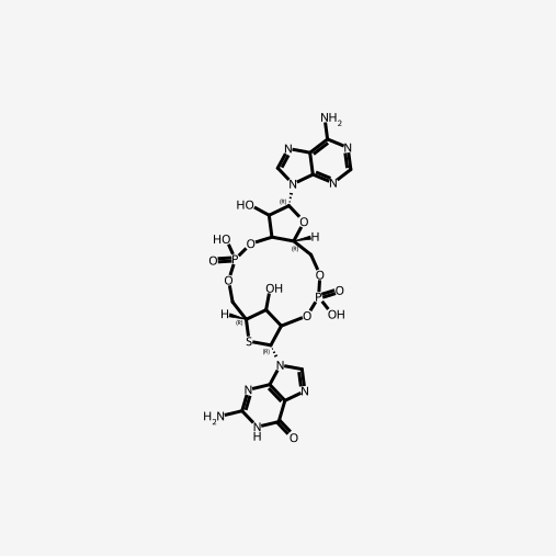 Nc1nc2c(ncn2[C@@H]2S[C@@H]3COP(=O)(O)OC4C(O)[C@H](n5cnc6c(N)ncnc65)O[C@@H]4COP(=O)(O)OC2C3O)c(=O)[nH]1